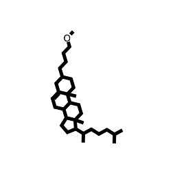 COCCCCC1CCC2(C)C(=CCC3C2CCC2(C)C(C(C)CCCC(C)C)CCC32)C1